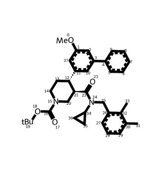 COc1cc(-c2ccccc2)cc([C@H]2CCN(C(=O)OC(C)(C)C)C[C@@H]2C(=O)N(Cc2cccc(C)c2C)C2CC2)c1